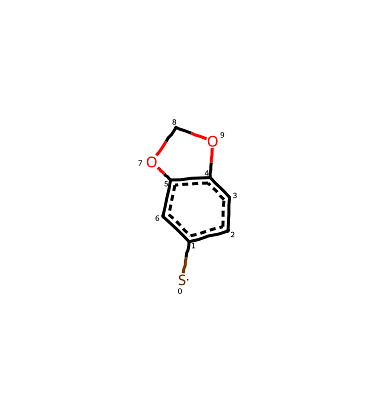 [S]c1ccc2c(c1)OCO2